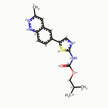 Cc1cc2cc(-c3cnc(NC(=O)OCC(C)C)s3)ccc2nn1